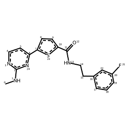 CNc1nccc(-c2ccc(C(=O)NCCc3cccc(F)c3)s2)n1